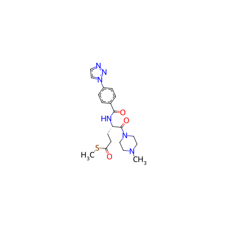 CSC(=O)CC[C@H](NC(=O)c1ccc(-n2ccnn2)cc1)C(=O)N1CCN(C)CC1